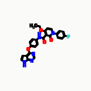 CCOc1ccn(-c2ccc(F)cc2)c(=O)c1C(=O)Nc1ccc(Oc2ncnc3[nH]ccc23)cc1